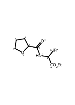 CCOC(=O)C(NC(=O)[C@@H]1CCCO1)C(C)C